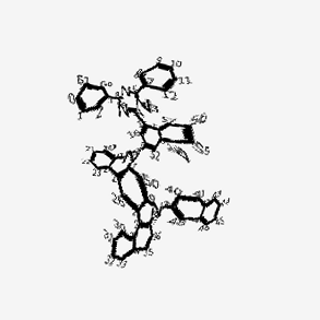 c1ccc(-c2nc(-c3ccccc3)nc(-c3cc(-n4c5ccccc5c5cc6c7c8ccccc8ccc7n(-c7ccc8ccccc8c7)c6cc54)cc4ccccc34)n2)cc1